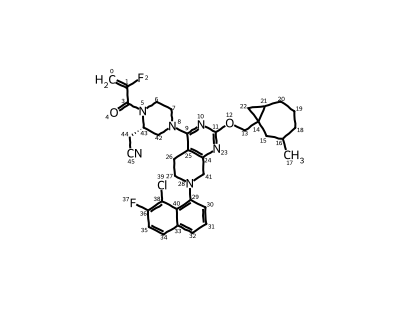 C=C(F)C(=O)N1CCN(c2nc(OCC34CC(C)CCCC3C4)nc3c2CCN(c2cccc4ccc(F)c(Cl)c24)C3)C[C@@H]1CC#N